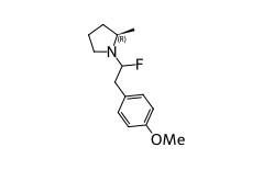 COc1ccc(CC(F)N2CCC[C@H]2C)cc1